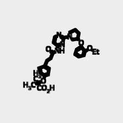 CCOc1ccccc1OC1CCCN(c2nccc(NC(=O)CCc3ccc(OC(C)(C)C(=O)O)cc3)n2)C1